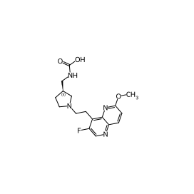 COc1ccc2ncc(F)c(CCN3CC[C@@H](CNC(=O)O)C3)c2n1